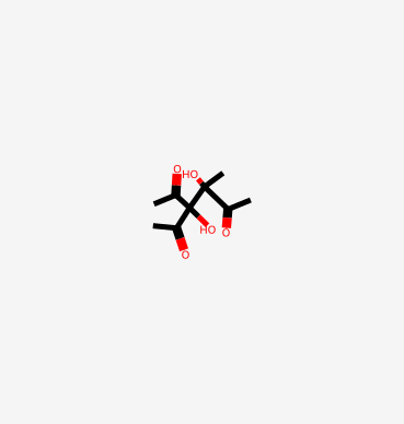 CC(=O)C(C)(O)C(O)(C(C)=O)C(C)=O